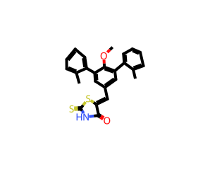 COc1c(-c2ccccc2C)cc(/C=C2\SC(=S)NC2=O)cc1-c1ccccc1C